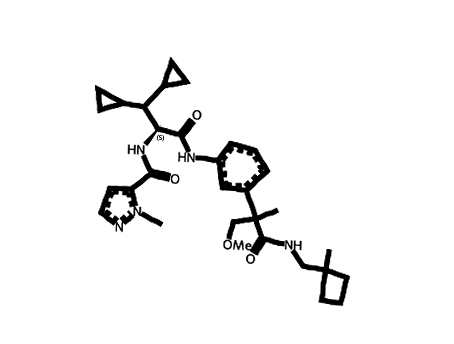 COCC(C)(C(=O)NCC1(C)CCC1)c1cccc(NC(=O)[C@@H](NC(=O)c2ccnn2C)C(C2CC2)C2CC2)c1